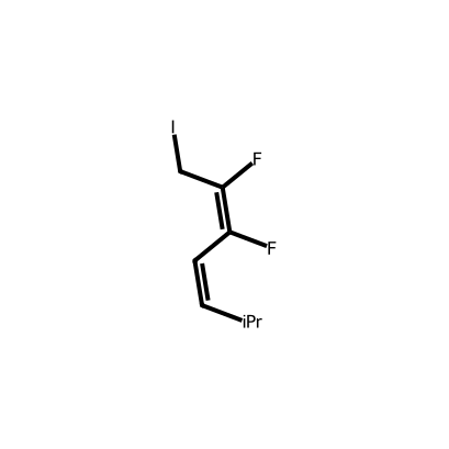 CC(C)/C=C\C(F)=C(\F)CI